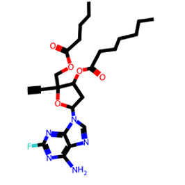 C#CC1(COC(=O)CCCC)OC(n2cnc3c(N)nc(F)nc32)CC1OC(=O)CCCCCC